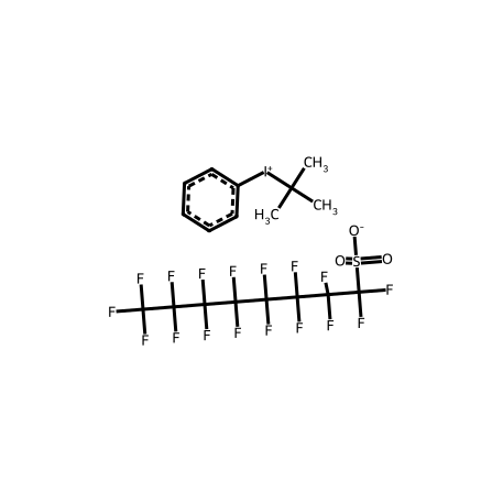 CC(C)(C)[I+]c1ccccc1.O=S(=O)([O-])C(F)(F)C(F)(F)C(F)(F)C(F)(F)C(F)(F)C(F)(F)C(F)(F)C(F)(F)F